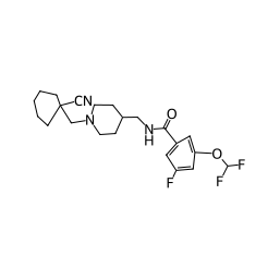 N#CC1(CN2CCC(CNC(=O)c3cc(F)cc(OC(F)F)c3)CC2)CCCCC1